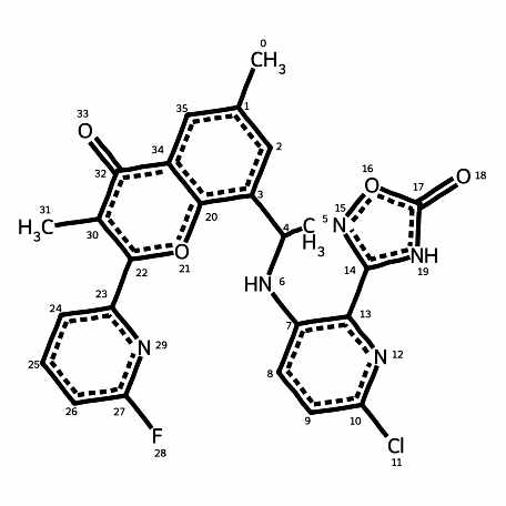 Cc1cc(C(C)Nc2ccc(Cl)nc2-c2noc(=O)[nH]2)c2oc(-c3cccc(F)n3)c(C)c(=O)c2c1